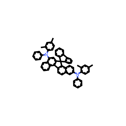 Cc1ccc(N(c2ccccc2)c2ccc3c4c(ccc3c2)-c2c(cc(N(c3ccccc3)c3ccc(C)cc3C)c3ccccc23)C42c3ccccc3-c3ccccc32)c(C)c1